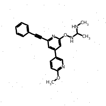 CNC(C)NOc1cc(-c2ccc(OC)nc2)cc(C#Cc2ccccc2)n1